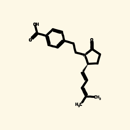 CC(C)=CC=C[C@H]1CCC(=O)N1CCc1ccc(C(=O)O)cc1